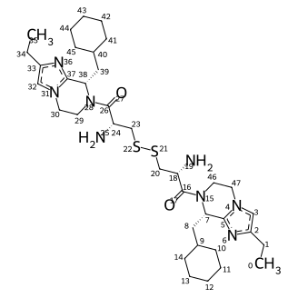 CCc1cn2c(n1)[C@H](CC1CCCCC1)N(C(=O)[C@@H](N)CSSC[C@H](N)C(=O)N1CCn3cc(CC)nc3[C@@H]1CC1CCCCC1)CC2